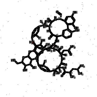 CC(C)C[C@@H](C)C(=O)N[C@H]1C(=O)N[C@@H](CC(N)=O)C(=O)N[C@H]2C(=O)N[C@H]3C(=O)N[C@H](C(=O)N[C@H](C=O)c4cc(O)cc(O)c4-c4cc3ccc4O)[C@H](O)c3ccc(c(Cl)c3)Oc3cc2cc(c3OC2OC(CO)C(O)C(O)C2OC2CC(C)(N)C(O)C(C)O2)Oc2ccc(cc2Cl)[C@H]1O